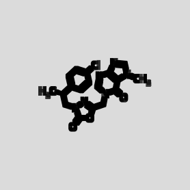 C[C@H](Cn1nc(Cn2cnc3ncn(C)c3c2=O)oc1=O)c1ccc(Cl)cc1